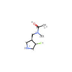 CCN(C[C@@H]1CNC[C@@H]1F)C(=O)C(F)(F)F